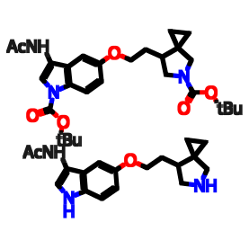 CC(=O)Nc1c[nH]c2ccc(OCCC3CNCC34CC4)cc12.CC(=O)Nc1cn(C(=O)OC(C)(C)C)c2ccc(OCCC3CN(C(=O)OC(C)(C)C)CC34CC4)cc12